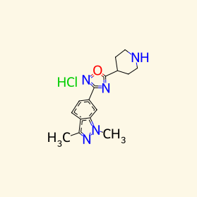 Cc1nn(C)c2cc(-c3noc(C4CCNCC4)n3)ccc12.Cl